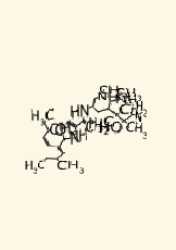 C=C(N/C(=C/NC)CC(CNC)C(C)(C)C(C)(O)CN)C1=COC(C(/C=C\C(C)CC)=C/C(C)CC)N1